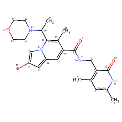 Cc1cc(C)c(CNC(=O)c2cc3cc(Br)cn3c(C(C)N3CCOCC3)c2C)c(=O)[nH]1